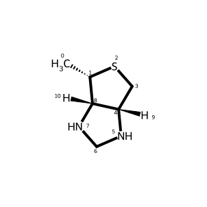 C[C@@H]1SC[C@@H]2NCN[C@@H]21